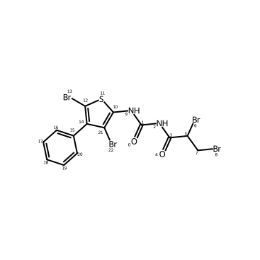 O=C(NC(=O)C(Br)CBr)Nc1sc(Br)c(-c2ccccc2)c1Br